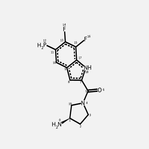 N[C@@H]1CCN(C(=O)c2cc3cc(P)c(F)c(F)c3[nH]2)C1